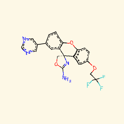 NC1=N[C@]2(CO1)c1cc(OCC(F)(F)F)ccc1Oc1ccc(-c3cncnc3)cc12